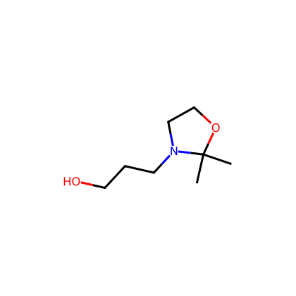 CC1(C)OCCN1CCCO